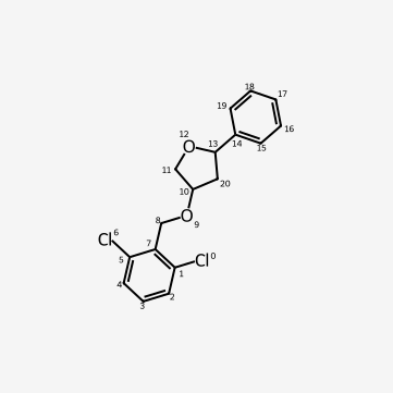 Clc1cccc(Cl)c1COC1COC(c2ccccc2)C1